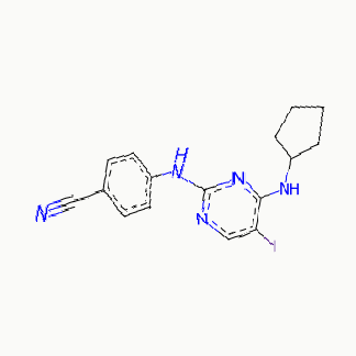 N#Cc1ccc(Nc2ncc(I)c(NC3CCCC3)n2)cc1